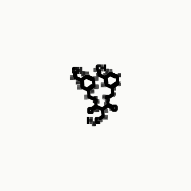 C=Cc1cccc(CSC(=O)C(CC)C(=O)SCc2cccc(C=C)c2)c1